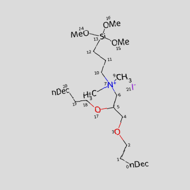 CCCCCCCCCCCCOCC(C[N+](C)(C)CCC[Si](OC)(OC)OC)OCCCCCCCCCCCC.[I-]